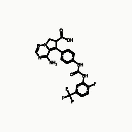 NC1=NC=NN2CC(C(=O)O)C(c3ccc(NC(=O)Nc4cc(C(F)(F)F)ccc4F)cc3)=C12